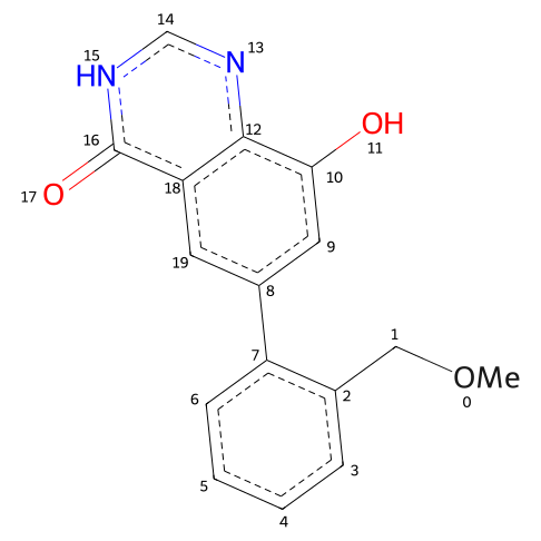 COCc1ccccc1-c1cc(O)c2nc[nH]c(=O)c2c1